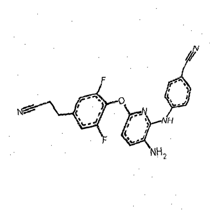 N#CCCc1cc(F)c(Oc2ccc(N)c(Nc3ccc(C#N)cc3)n2)c(F)c1